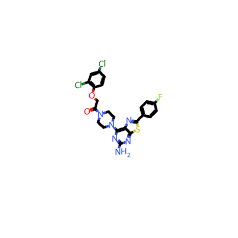 Nc1nc(N2CCN(C(=O)COc3ccc(Cl)cc3Cl)CC2)c2nc(-c3ccc(F)cc3)sc2n1